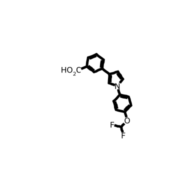 O=C(O)c1cccc(-c2ccn(-c3ccc(OC(F)F)cc3)c2)c1